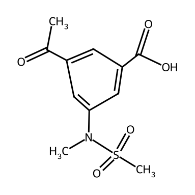 CC(=O)c1cc(C(=O)O)cc(N(C)S(C)(=O)=O)c1